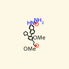 COC(=O)CCc1ccc(C2CCCC2)c(-c2ccc3cc(NC(N)=O)ccc3c2)c1OC